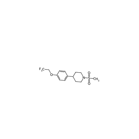 CS(=O)(=O)N1CCC(c2ccc(OCC(F)(F)F)cc2)CC1